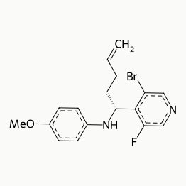 C=CCC[C@@H](Nc1ccc(OC)cc1)c1c(F)cncc1Br